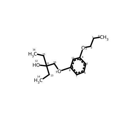 CCCOc1cccc(OCC(O)(CC)CC)c1